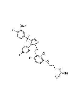 COc1cc(C(C)(C)c2cnc(SCc3c(F)ccc(OCCCNC(=N)N)c3Cl)n2-c2ccc(F)cc2)ccc1F